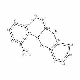 Cc1cccc2c1C1Cc3ccc[c]c3CN1CC2